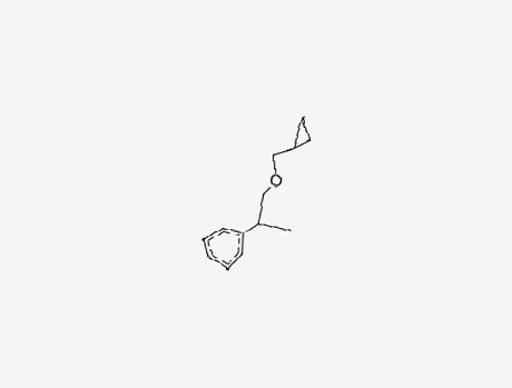 CC(COCC1CC1)c1ccccc1